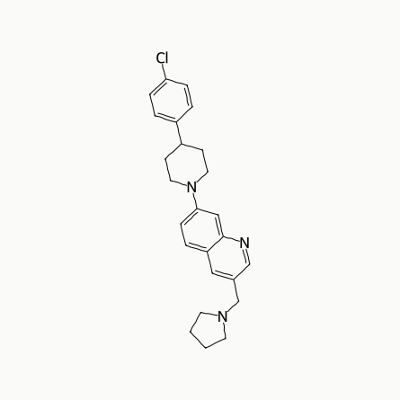 Clc1ccc(C2CCN(c3ccc4cc(CN5CCCC5)cnc4c3)CC2)cc1